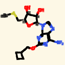 CCCCSC[C@H]1O[C@@H](n2cnc3c(N)nc(OCC4CCC4)nc32)[C@H](O)[C@@H]1O